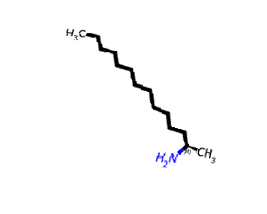 CCCCCCCCCCCC[C@@H](C)N